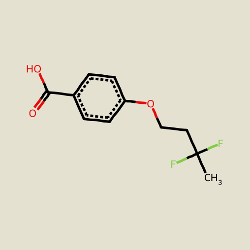 CC(F)(F)CCOc1ccc(C(=O)O)cc1